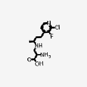 C=C(/C=C/c1ccnc(Cl)c1F)NCC(N)C(=O)O